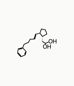 OC(O)C[C@H]1CCC[C@@H]1/C=C/CCCc1ccccc1